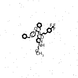 COCCNc1ccc(CN(C(=O)C=Cc2ccc(C(F)(F)F)cc2)[C@@H](Cc2ccccc2)C(=O)N2CCN(Cc3ccccc3)CC2)cn1